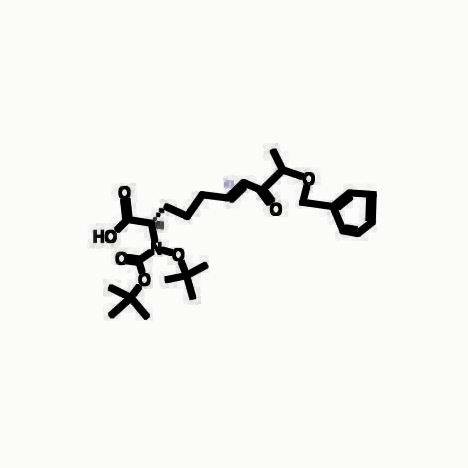 CC(OCc1ccccc1)C(=O)/C=C/CCC[C@@H](C(=O)O)N(OC(C)(C)C)C(=O)OC(C)(C)C